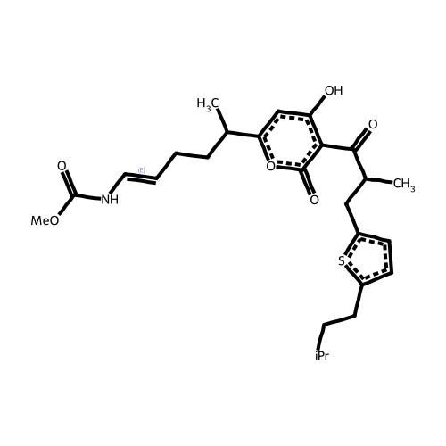 COC(=O)N/C=C/CCC(C)c1cc(O)c(C(=O)C(C)Cc2ccc(CCC(C)C)s2)c(=O)o1